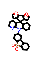 O=S1(=O)c2ccccc2-c2cc(N3c4ccccc4C4(c5cccnc53)c3ccoc3-c3occc34)ccc21